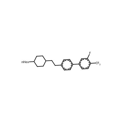 CCCCCCC1CCC(CCc2ccc(-c3ccc(C(F)(F)F)c(F)c3)cc2)CC1